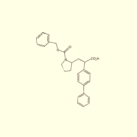 O=C(O)C(CC1CCCN1C(=O)OCc1ccccc1)c1ccc(-c2ccccc2)cc1